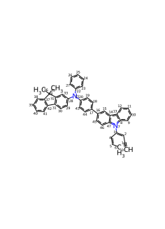 C#C/C=C(\C=C/C)n1c2ccccc2c2cc(-c3ccc(N(c4ccccc4)c4ccc5c(c4)C(C)(C)c4ccccc4-5)cc3)ccc21